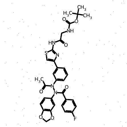 CC(=O)N(c1cccc(-c2csc(NC(=O)CNC(=O)OC(C)(C)C)n2)c1)N(C(=O)c1ccc(F)cc1)c1ccc2c(c1)OCO2